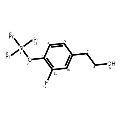 CC(C)[Si](Oc1ccc(CCO)cc1F)(C(C)C)C(C)C